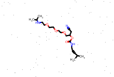 CC(C)C#CCNC(=O)OC(CC#N)COCCOCCOCCNC(C)C